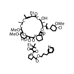 CCC(C)(C)C(=O)C(=O)N1CCCC1C(=O)OCCCc1cccnc1.CC[C@@H]1/C=C(\C)C[C@H](C)C[C@H](OC)[C@H]2O[C@@](O)(C(=O)C(=O)N3CCCC[C@H]3C(=O)O[C@H](/C(C)=C/[C@@H]3CC[C@@H](Cl)[C@H](OC)C3)[C@H](C)[C@@H](O)CC1=O)[C@H](C)C[C@@H]2OC